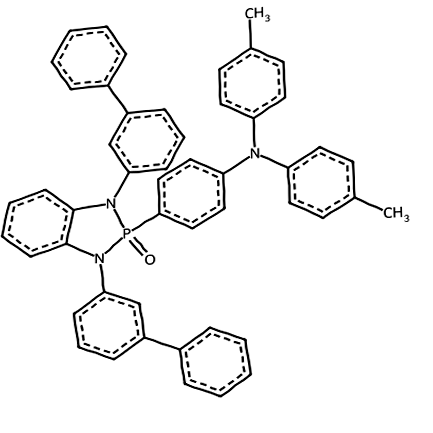 Cc1ccc(N(c2ccc(C)cc2)c2ccc(P3(=O)N(c4cccc(-c5ccccc5)c4)c4ccccc4N3c3cccc(-c4ccccc4)c3)cc2)cc1